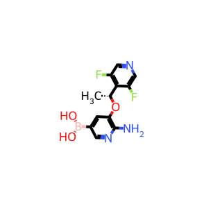 C[C@@H](Oc1cc(B(O)O)cnc1N)c1c(F)cncc1F